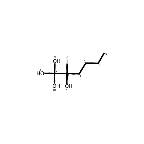 CCCCC(O)(I)C(O)(O)O